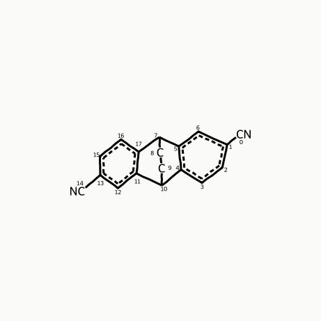 N#Cc1ccc2c(c1)C1CCC2c2cc(C#N)ccc21